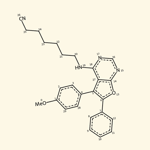 COc1ccc(-c2c(-c3ccccc3)oc3ncnc(NCCCCCCC#N)c23)cc1